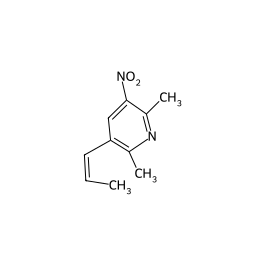 C/C=C\c1cc([N+](=O)[O-])c(C)nc1C